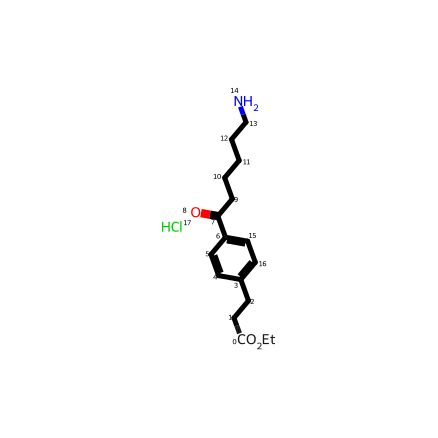 CCOC(=O)CCc1ccc(C(=O)CCCCCN)cc1.Cl